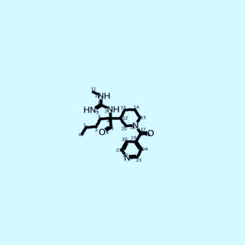 CCCCC(C=O)(NC(=N)NC)C1CCCN(C(=O)c2ccncc2)C1